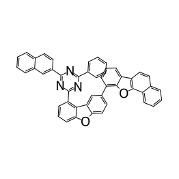 c1ccc(-c2nc(-c3ccc4ccccc4c3)nc(-c3cccc4oc5ccc(-c6cccc7c6oc6c8ccccc8ccc76)cc5c34)n2)cc1